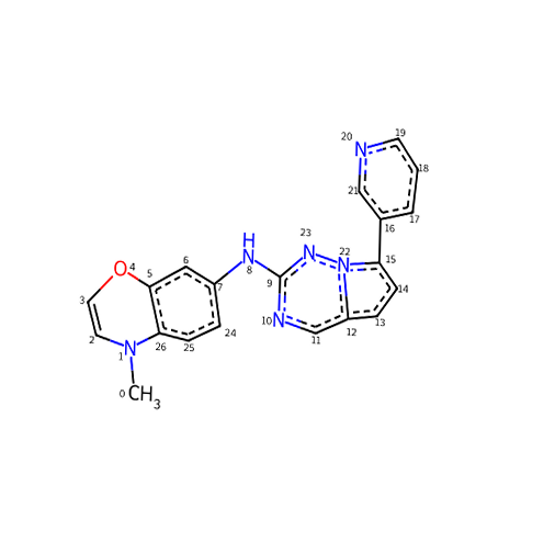 CN1C=COc2cc(Nc3ncc4ccc(-c5cccnc5)n4n3)ccc21